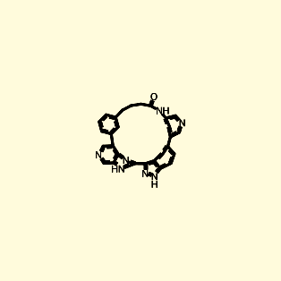 O=C1CCCc2cccc(c2)-c2cncc3[nH]c(nc23)-c2n[nH]c3ccc(cc23)-c2cncc(c2)N1